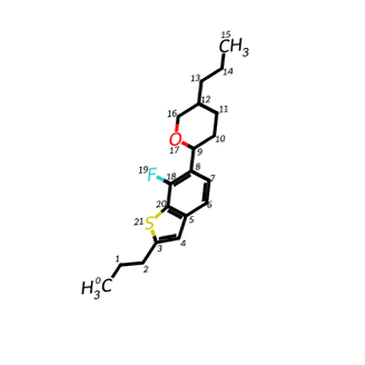 CCCc1cc2ccc(C3CCC(CCC)CO3)c(F)c2s1